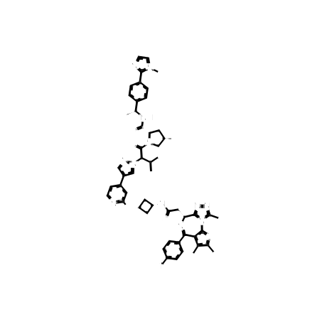 Cc1sc2c(c1C)C(c1ccc(Cl)cc1)=N[C@@H](CC(=O)N[C@H]1C[C@@H](Oc3cc(-c4cnn(C(C(=O)N5C[C@H](O)C[C@H]5C(=O)N[C@@H](C)c5ccc(-c6nccn6C)cc5)C(C)C)c4)ccn3)C1)c1nnc(C)n1-2